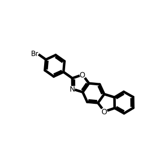 Brc1ccc(-c2nc3cc4oc5ccccc5c4cc3o2)cc1